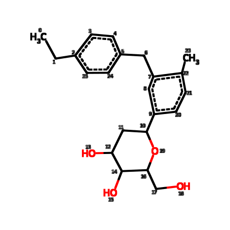 CCc1ccc(Cc2cc(C3CC(O)C(O)C(CO)O3)ccc2C)cc1